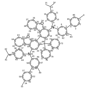 Cc1ccc(-c2cc(N(c3ccc(C(C)C)cc3)c3cc4c(c5c3oc3ccccc35)-c3c(cc(N(c5ccc(C(C)C)cc5)c5ccc(C)c(-c6ccc(C)cc6)c5)c5c3oc3ccccc35)C4(c3ccccc3)c3ccccc3)ccc2C)cc1